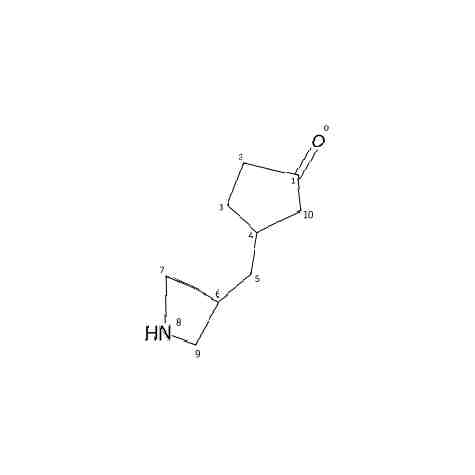 O=C1CCC(CC2CNC2)C1